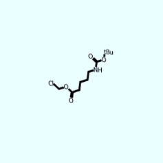 CC(C)(C)OC(=O)NCCCCC(=O)OCCl